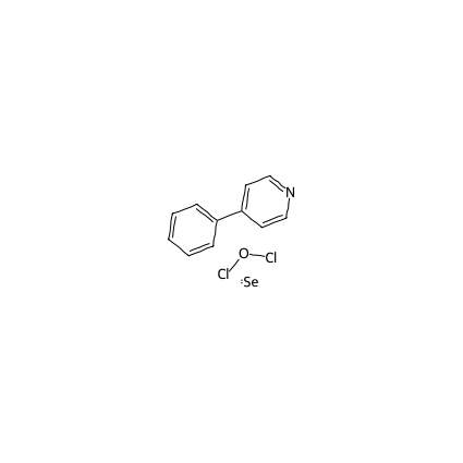 ClOCl.[Se].c1ccc(-c2ccncc2)cc1